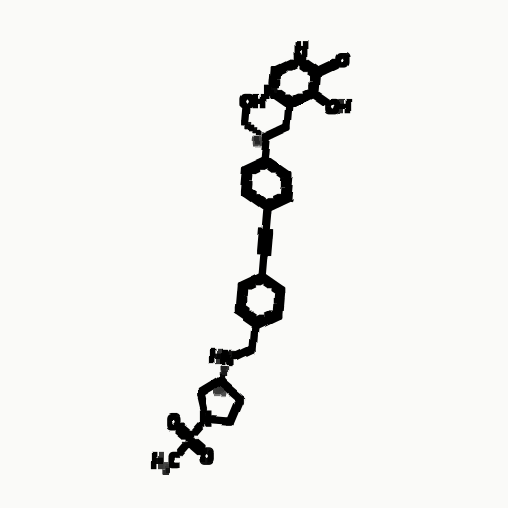 CS(=O)(=O)N1CC[C@@H](NCc2ccc(C#Cc3ccc([C@H](CO)Cc4nc[nH]c(=O)c4O)cc3)cc2)C1